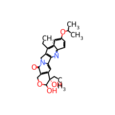 CCc1c2c(nc3ccc(OC(C)C)cc13)-c1cc3c(c(=O)n1C2)COC(O)[C@]3(O)CC